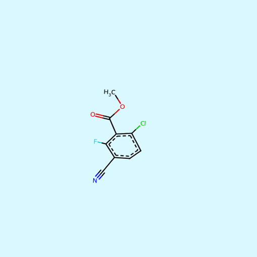 COC(=O)c1c(Cl)ccc(C#N)c1F